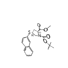 COC(=O)[C@@H]1C[C@@H](Sc2ccc3ccccc3c2)CN1C(=O)OC(C)(C)C